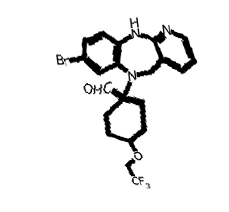 O=CC1(N2Cc3cccnc3Nc3ccc(Br)cc32)CCC(OCC(F)(F)F)CC1